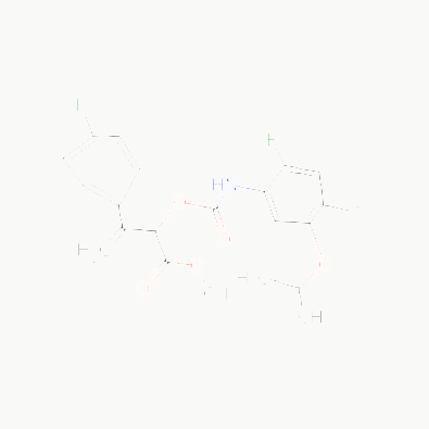 C=C(c1ccc(F)cc1)C(OC(=O)Nc1cc(OC(C)C)c(Cl)cc1F)C(=O)OC